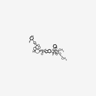 CCCOC(=O)[C@H](C)NP(=O)(Oc1ccccc1)[C@@H](F)c1ccc2sc(C(=O)N[C@H]3CCC[C@H]4CC[C@@H](C(=O)N5CC(c6cnccc6F)C5)N4C3=O)cc2c1